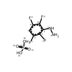 NNc1c(F)c(F)cc(F)c1F.O=S(=O)(O)O